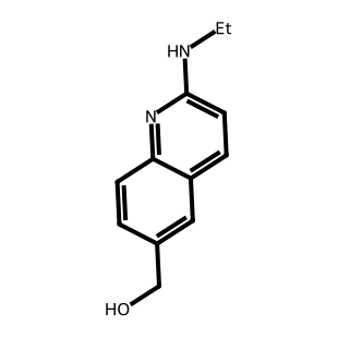 CCNc1ccc2cc(CO)ccc2n1